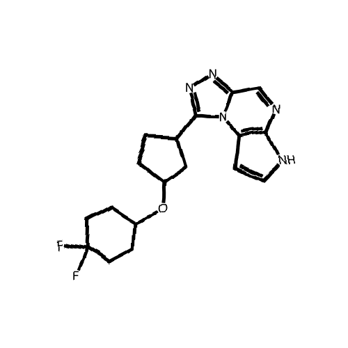 FC1(F)CCC(OC2CCC(c3nnc4cnc5[nH]ccc5n34)C2)CC1